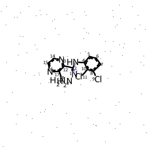 N/N=C(/Nc1cccc(Cl)c1Cl)c1nccnc1N